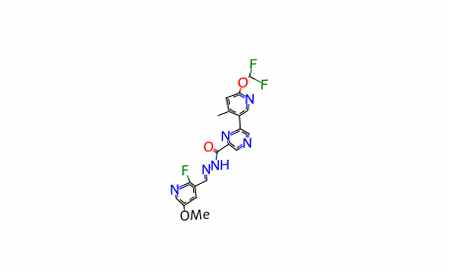 COc1cnc(F)c(/C=N/NC(=O)c2cncc(-c3cnc(OC(F)F)cc3C)n2)c1